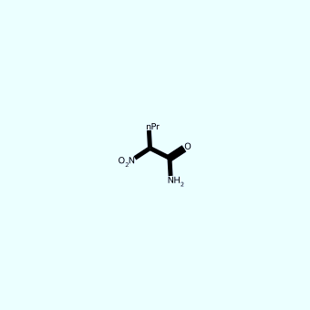 CCCC(C(N)=O)[N+](=O)[O-]